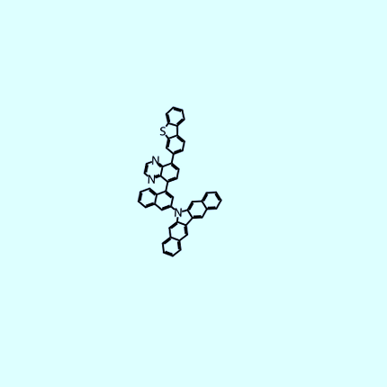 c1ccc2cc3c(cc2c1)c1cc2ccccc2cc1n3-c1cc(-c2ccc(-c3ccc4c(c3)sc3ccccc34)c3nccnc23)c2ccccc2c1